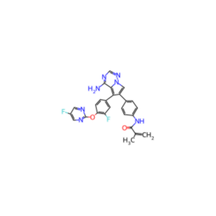 C=C(C)C(=O)Nc1ccc(-c2cn3ncnc(N)c3c2-c2ccc(Oc3ncc(F)cn3)c(F)c2)cc1